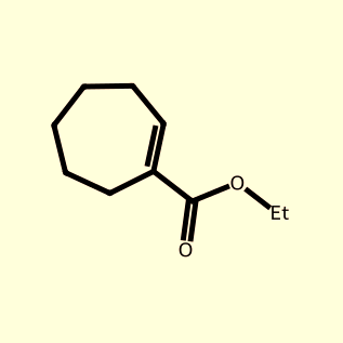 CCOC(=O)C1=CCCCCC1